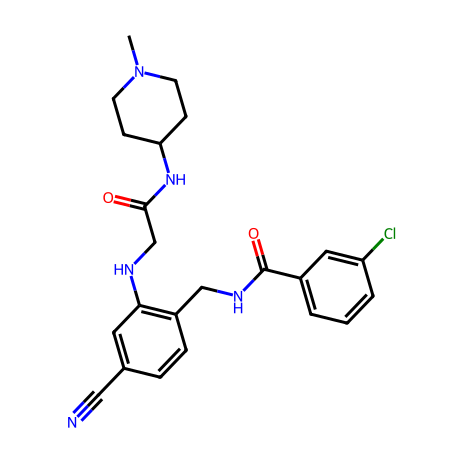 CN1CCC(NC(=O)CNc2cc(C#N)ccc2CNC(=O)c2cccc(Cl)c2)CC1